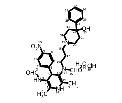 CC1=C(NC=O)C(c2ccc([N+](=O)[O-])cc2)C(N(C=O)CCCN2CCC(O)(c3ccccc3)CC2)=C(C)N1.Cl.O